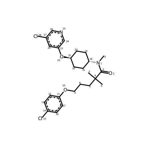 CN(C(=O)C(C)(C)CCCOc1ccc(Cl)cc1)[C@H]1CC[C@H](Oc2cncc(Cl)c2)CC1